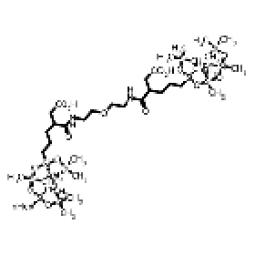 CCCCCC[Si](C)(O[Si](C)(C)C)O[Si](C)(C)O[Si](C)(CCCC(CC(=O)O)C(=O)NCCOCCNC(=O)C(CCC[Si](C)(O[Si](C)(C)C)O[Si](C)(C)O[Si](C)(CCCCCC)O[Si](C)(C)C)CC(=O)O)O[Si](C)(C)C